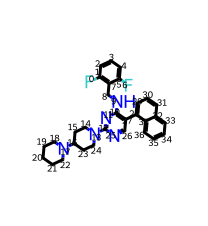 Fc1cccc(F)c1CNc1nc(N2CCC(N3CCCCC3)CC2)ncc1-c1cccc2ccccc12